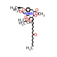 CC#CCOc1ccc(C[C@H](NC(=O)[C@@H](/C=C/CCCCCCC(=O)CCCCCCC)[C@@H](CC(=O)NCCOC)C(=O)OC(C)(C)C)C(=O)OC)cc1